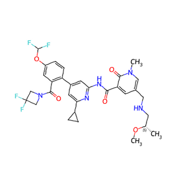 CO[C@@H](C)CNCc1cc(C(=O)Nc2cc(-c3ccc(OC(F)F)cc3C(=O)N3CC(F)(F)C3)cc(C3CC3)n2)c(=O)n(C)c1